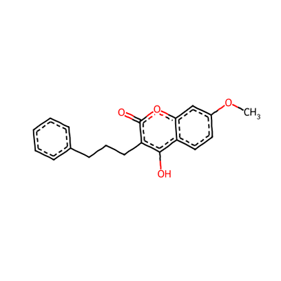 COc1ccc2c(O)c(CCCc3ccccc3)c(=O)oc2c1